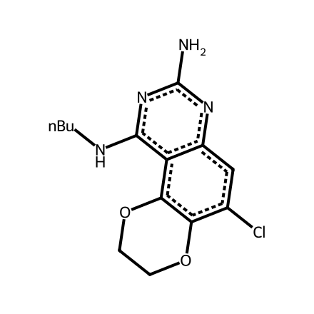 CCCCNc1nc(N)nc2cc(Cl)c3c(c12)OCCO3